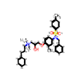 Cc1ccc(S(=O)(=O)N(Cc2ccccc2)c2ccc(OCC(O)C[N+](C)(C)CCCc3ccccc3)c(C#N)c2)cc1